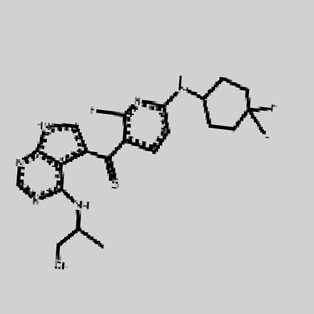 CC(CO)Nc1ncnc2[nH]cc(C(=O)c3ccc(NC4CCC(F)(F)CC4)nc3F)c12